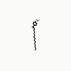 CCCCCCCCCCCCCC=C(C)c1ccc(O)cc1